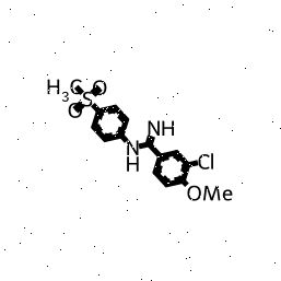 COc1ccc(C(=N)Nc2ccc(S(C)(=O)=O)cc2)cc1Cl